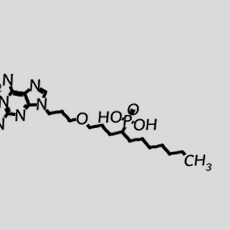 CCCCCCCC(CCCOCCCn1cnc2c(N)nc(N)nc21)P(=O)(O)O